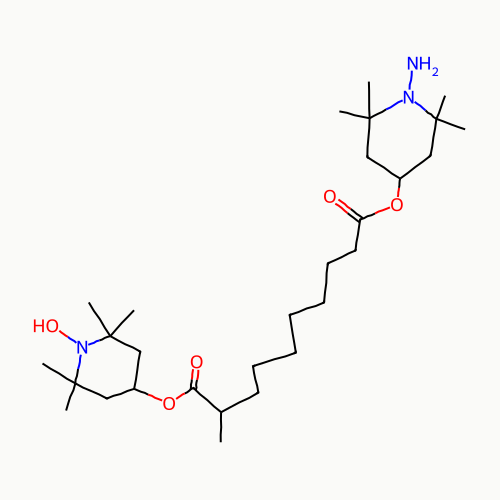 CC(CCCCCCCC(=O)OC1CC(C)(C)N(N)C(C)(C)C1)C(=O)OC1CC(C)(C)N(O)C(C)(C)C1